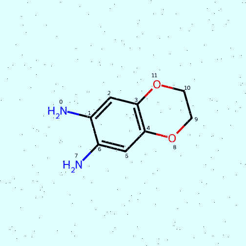 Nc1cc2c(cc1N)OCCO2